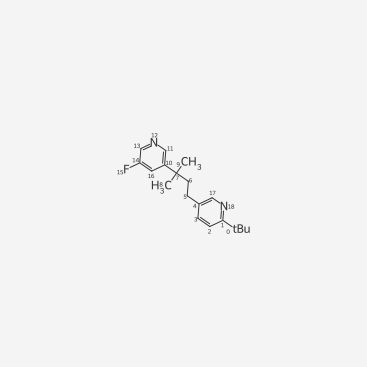 CC(C)(C)c1ccc(CCC(C)(C)c2cncc(F)c2)cn1